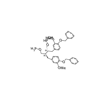 COc1cc(C[C@@H](COP)[C@H](COPC)Cc2ccc(OCc3ccccc3)c(OC)c2)ccc1OCc1ccccc1